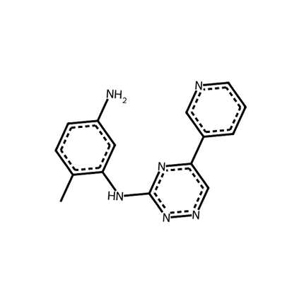 Cc1ccc(N)cc1Nc1nncc(-c2cccnc2)n1